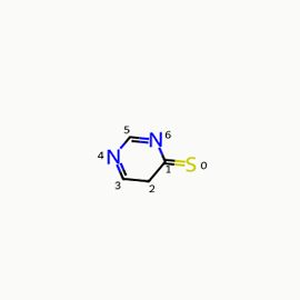 S=C1CC=NC=N1